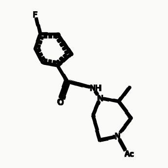 CC(=O)N1CCN(NC(=O)c2ccc(F)cc2)C(C)C1